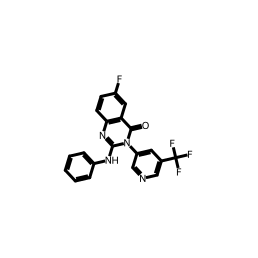 O=c1c2cc(F)ccc2nc(Nc2ccccc2)n1-c1cncc(C(F)(F)F)c1